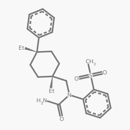 CC[C@]1(CN(C(N)=O)c2ccccc2S(C)(=O)=O)CC[C@@](CC)(c2ccccc2)CC1